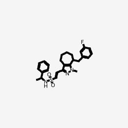 CC(NS(=O)(=O)/C=C/c1nn(C)c2c1CCCCC2Cc1cccc(F)c1)c1ccccc1